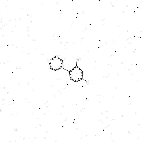 Nc1ccc(-c2ccncc2)c(O)c1